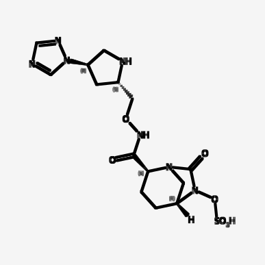 O=C(NOC[C@@H]1C[C@@H](n2cncn2)CN1)[C@@H]1CC[C@@H]2CN1C(=O)N2OS(=O)(=O)O